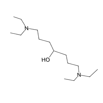 CCN(CC)CCCC(O)CCCN(CC)CC